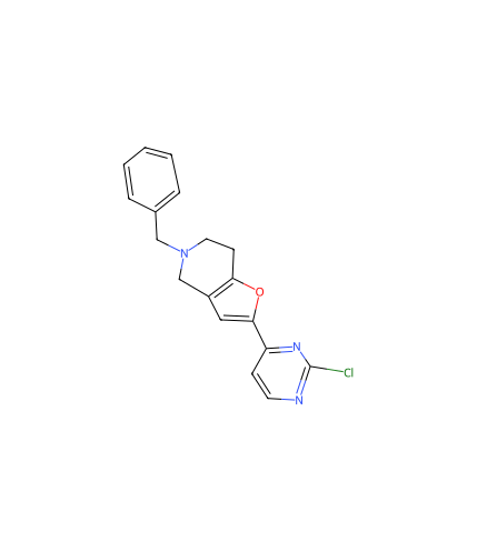 Clc1nccc(-c2cc3c(o2)CCN(Cc2ccccc2)C3)n1